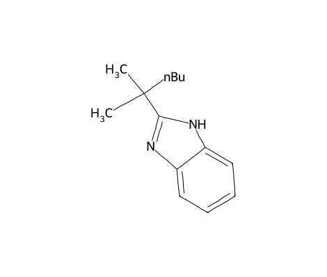 CCCCC(C)(C)c1nc2ccccc2[nH]1